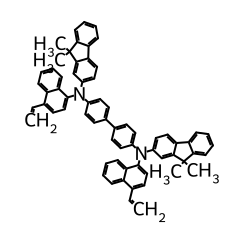 C=Cc1ccc(N(c2ccc(-c3ccc(N(c4ccc5c(c4)C(C)(C)c4ccccc4-5)c4ccc(C=C)c5ccccc45)cc3)cc2)c2ccc3c(c2)C(C)(C)c2ccccc2-3)c2ccccc12